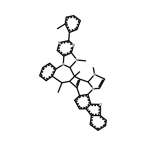 Cc1ccccc1-c1ncc2c(n1)N(C)C1N2c2ccccc2C(C)C2C3=C(C4N(C)C=CN4c4c3ccc3c4oc4ccccc43)C21C